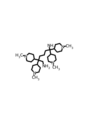 CN1CCC(C(N)(CCCC(CN)(C2CCN(C)CC2)C2CCN(C)CC2)C2CCN(C)CC2)CC1